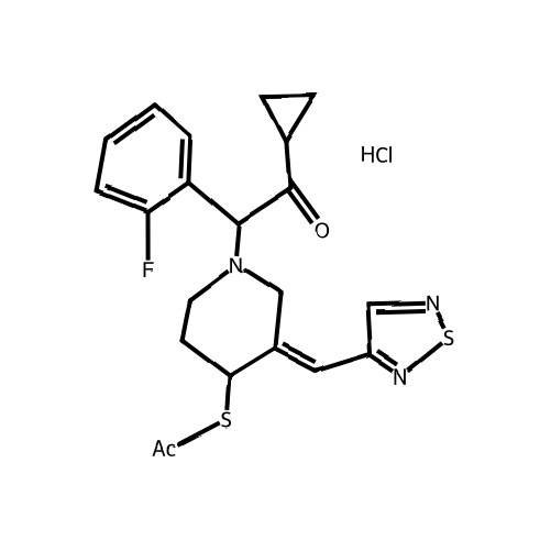 CC(=O)SC1CCN(C(C(=O)C2CC2)c2ccccc2F)CC1=Cc1cnsn1.Cl